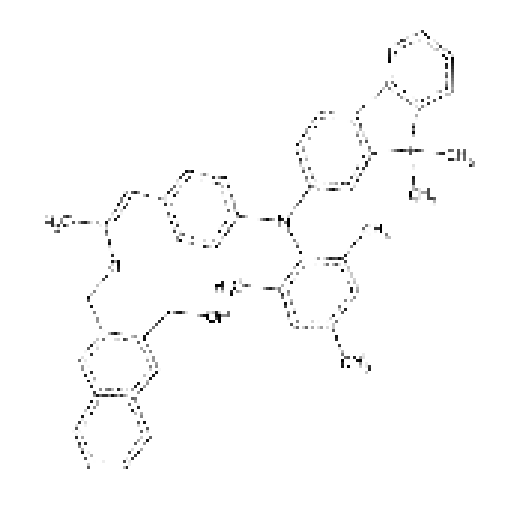 C/C(=C/c1ccc(N(c2ccc3c(c2)C(C)(C)c2ccccc2-3)c2c(C)cc(C)cc2C)cc1)OCc1cc2ccccc2cc1CO